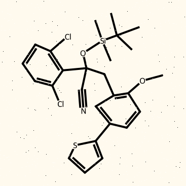 COc1ccc(-c2cccs2)cc1CC(C#N)(O[Si](C)(C)C(C)(C)C)c1c(Cl)cccc1Cl